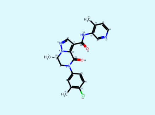 Cc1cc(N2C[C@H](C)n3ncc(C(=O)Nc4cnccc4C)c3C2=O)ccc1Cl